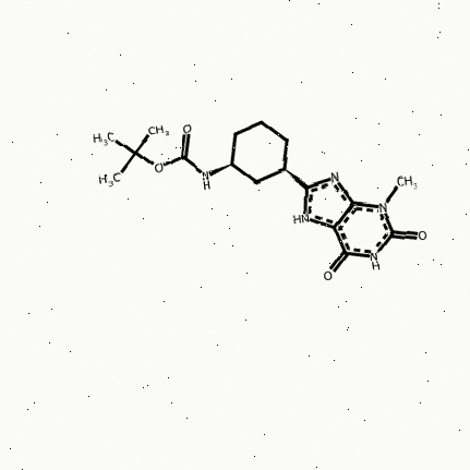 Cn1c(=O)[nH]c(=O)c2[nH]c([C@@H]3CCC[C@H](NC(=O)OC(C)(C)C)C3)nc21